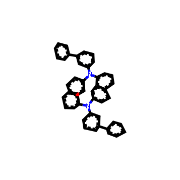 c1ccc(-c2cccc(N(c3ccccc3)c3ccc4cccc(N(c5ccccc5)c5cccc(-c6ccccc6)c5)c4c3)c2)cc1